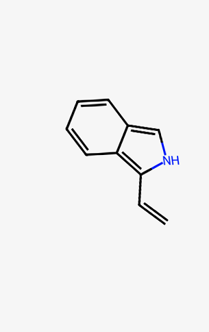 C=Cc1[nH]cc2ccccc12